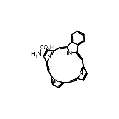 C1=Cc2cc3[nH]c(cc4nc(cc5ccc(cc1n2)[nH]5)C=C4)c1ccccc31.NC(=O)O